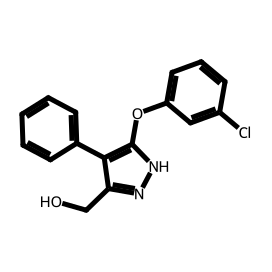 OCc1n[nH]c(Oc2cccc(Cl)c2)c1-c1ccccc1